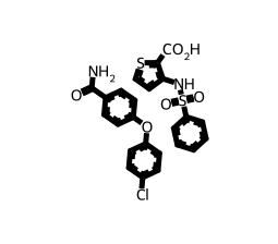 NC(=O)c1ccc(Oc2ccc(Cl)cc2)cc1.O=C(O)c1sccc1NS(=O)(=O)c1ccccc1